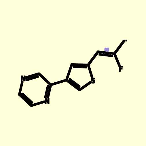 [CH2]/C(F)=C/c1cc(-c2cnccn2)cs1